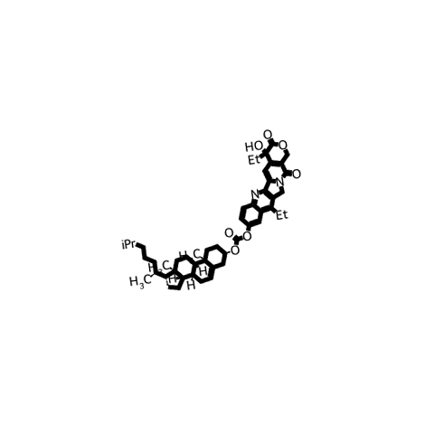 CCc1c2c(nc3ccc(OC(=O)O[C@H]4CC[C@@]5(C)C(=CC[C@H]6[C@@H]7CC[C@H]([C@H](C)CCCC(C)C)[C@@]7(C)CC[C@@H]65)C4)cc13)-c1cc3c(c(=O)n1C2)COC(=O)C3(O)CC